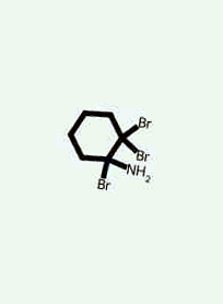 NC1(Br)CCCCC1(Br)Br